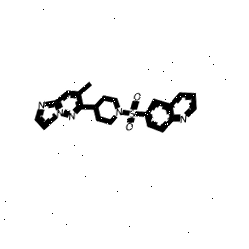 Cc1cc2nccn2nc1C1CCN(S(=O)(=O)c2ccc3ncccc3c2)CC1